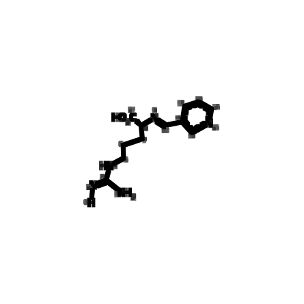 [H]/N=C(\N)NCCC[C@H](N=Cc1cccnc1)C(=O)O